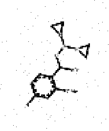 CCCC(OP(N1CC1)N1CC1)c1ccc(N)cc1OC